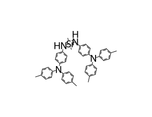 Cc1ccc(N(c2ccc(C)cc2)c2ccc(N[Si](C)(C)Nc3ccc(N(c4ccc(C)cc4)c4ccc(C)cc4)cc3)cc2)cc1